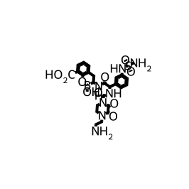 NCCN1CCN(C(=O)NC(C(=O)NC2Cc3cccc(C(=O)O)c3OB2O)c2cccc(NS(N)(=O)=O)c2)C(=O)C1=O